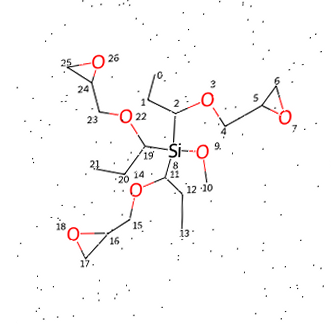 CCC(OCC1CO1)[Si](OC)(C(CC)OCC1CO1)C(CC)OCC1CO1